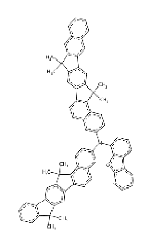 CC1(C)c2ccccc2-c2cc3c(cc21)-c1ccc2cc(N(c4ccc5c6c(ccc5c4)-c4cc5c(cc4C6(C)C)-c4cc6ccccc6cc4C5(C)C)c4cccc5c4oc4ccccc45)ccc2c1C3(C)C